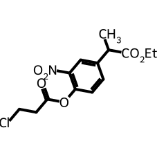 CCOC(=O)C(C)c1ccc(OC(=O)CCCl)c([N+](=O)[O-])c1